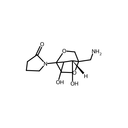 NCC12COC(N3CCCC3=O)(CO1)C(O)[C@H]2O